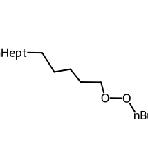 CCCCCCCCCCCCOOCCCC